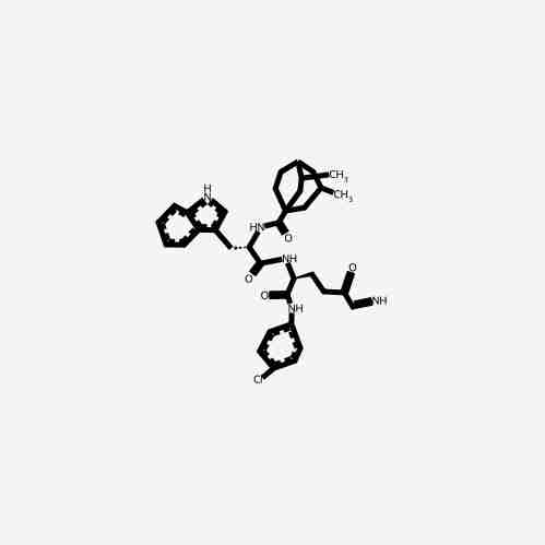 CC1CC2CCC(C(=O)N[C@@H](Cc3c[nH]c4ccccc34)C(=O)N[C@@H](CCC(=O)C=N)C(=O)Nc3ccc(Cl)cc3)(C1)CC2C